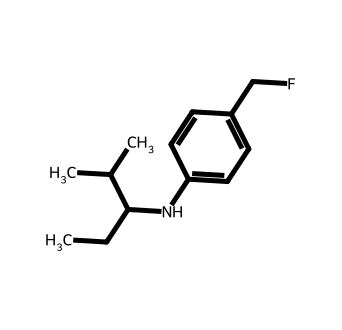 CCC(Nc1ccc(CF)cc1)C(C)C